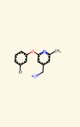 CCc1cccc(Oc2cc(CN)cc(C)n2)c1